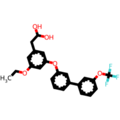 CCOc1cc(CC(O)O)cc(Oc2cccc(-c3cccc(OC(F)(F)F)c3)c2)c1